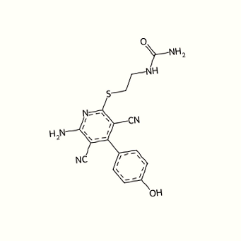 N#Cc1c(N)nc(SCCNC(N)=O)c(C#N)c1-c1ccc(O)cc1